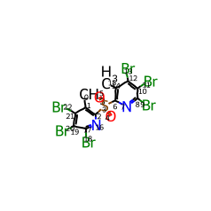 Cc1c(S(=O)(=O)c2nc(Br)c(Br)c(Br)c2C)nc(Br)c(Br)c1Br